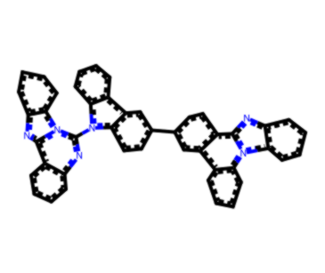 c1ccc2c(c1)nc(-n1c3ccccc3c3cc(-c4ccc5c(c4)c4ccccc4n4c6ccccc6nc54)ccc31)n1c3ccccc3nc21